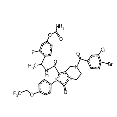 CC(NC(=O)c1c2n(c(=O)n1-c1ccc(OCC(F)(F)F)cc1)CCN(C(=O)c1ccc(Br)c(Cl)c1)C2)c1ccc(OC(N)=O)cc1F